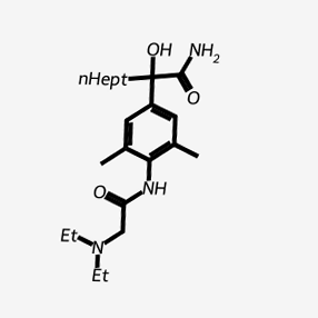 CCCCCCCC(O)(C(N)=O)c1cc(C)c(NC(=O)CN(CC)CC)c(C)c1